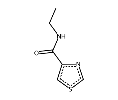 CCNC(=O)c1cscn1